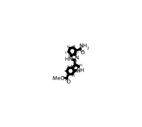 COC(=O)c1ccc2c(-c3nc4c(C(N)=O)cccc4[nH]3)c[nH]c2c1